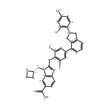 O=C(O)c1ccc2nc(Cc3c(F)cc(-c4cccc5c4CN(c4ccc(Cl)cc4F)C5)cc3F)n(C[C@@H]3CCO3)c2c1